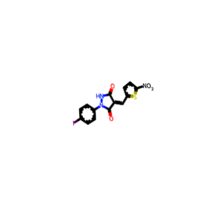 O=C1NN(c2ccc(I)cc2)C(=O)/C1=C/c1ccc([N+](=O)[O-])s1